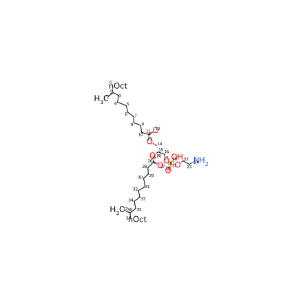 CCCCCCCCC(C)CCCCCCCCC(=O)OC[C@H](COP(=O)(O)OCCN)OC(=O)CCCCCCCCC(C)CCCCCCCC